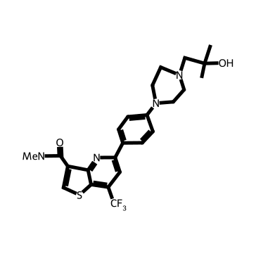 CNC(=O)c1csc2c(C(F)(F)F)cc(-c3ccc(N4CCN(CC(C)(C)O)CC4)cc3)nc12